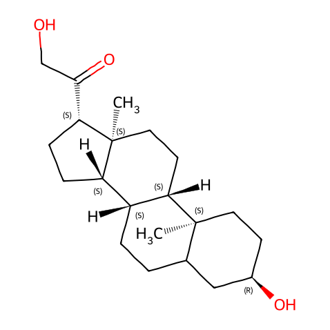 C[C@]12CC[C@H]3[C@H](CCC4C[C@H](O)CC[C@@]43C)[C@@H]1CC[C@@H]2C(=O)CO